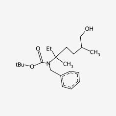 CCC(C)(CCC(C)CO)N(Cc1ccccc1)C(=O)OC(C)(C)C